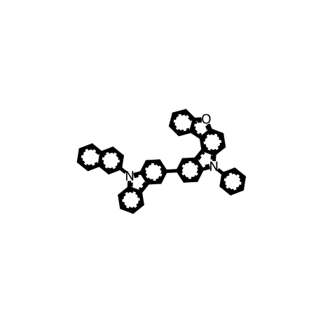 c1ccc(-n2c3ccc(-c4ccc5c(c4)c4ccccc4n5-c4ccc5ccccc5c4)cc3c3c4c(ccc32)oc2ccccc24)cc1